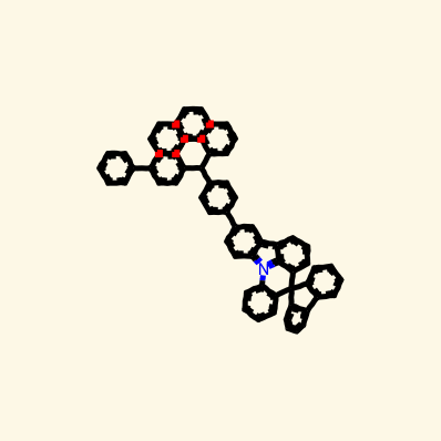 c1ccc(-c2ccc(C(c3ccc(-c4ccc5c(c4)c4cccc6c4n5-c4ccccc4C64c5ccccc5-c5ccccc54)cc3)c3ccccc3-c3ccccc3)c(-c3ccccc3)c2)cc1